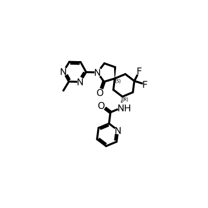 Cc1nccc(N2CC[C@@]3(C[C@@H](NC(=O)c4ccccn4)CC(F)(F)C3)C2=O)n1